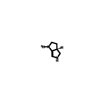 [2H]N1CC[C@H]2CNC=C21